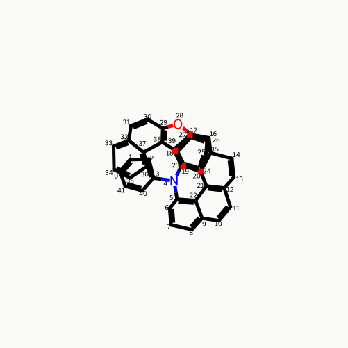 c1ccc(N(c2cccc3ccc4ccc5ccccc5c4c23)c2cccc3oc4ccc5ccccc5c4c23)cc1